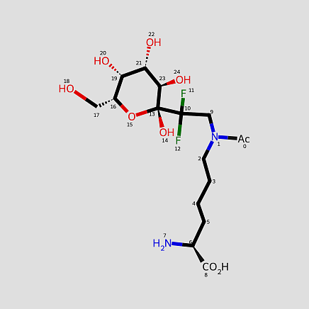 CC(=O)N(CCCC[C@H](N)C(=O)O)CC(F)(F)[C@]1(O)O[C@H](CO)[C@H](O)[C@H](O)[C@H]1O